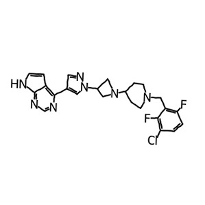 Fc1ccc(Cl)c(F)c1CN1CCC(N2CC(n3cc(-c4ncnc5[nH]ccc45)cn3)C2)CC1